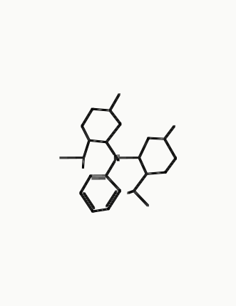 CC1CCC(C(C)C)C(N(c2ccccc2)C2CC(C)CCC2C(C)C)C1